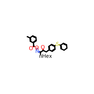 CCCCCC/C(=N/OC(=O)c1cccc(C)c1)C(=O)Cc1ccc(SC2=CCCC=C2)cc1